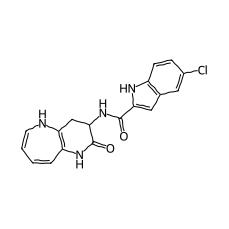 O=C(NC1CC2=C(C=CC=CN2)NC1=O)c1cc2cc(Cl)ccc2[nH]1